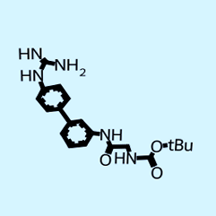 CC(C)(C)OC(=O)NCC(=O)Nc1cccc(-c2ccc(NC(=N)N)cc2)c1